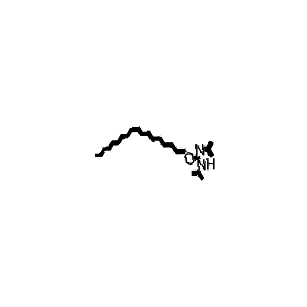 CCCC/C=C/C=C/C=C\CCCCCCCCOC(=NC(C)C)NC(C)C